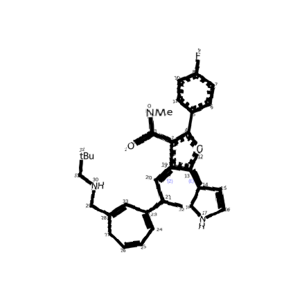 CNC(=O)c1c(-c2ccc(F)cc2)oc(=C2\C=CNC2)/c1=C\C(C)C1=CC=CCC(CNCC(C)(C)C)=C1